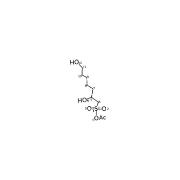 CC(=O)OS(=O)(=O)CC(O)CCCCCO